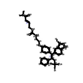 CN(C)C(=O)/C=C/COC(=O)NCCOc1ccc(/C(=C(/CC(F)(F)F)c2ccccc2)c2ccc3[nH]nc(F)c3c2)cc1